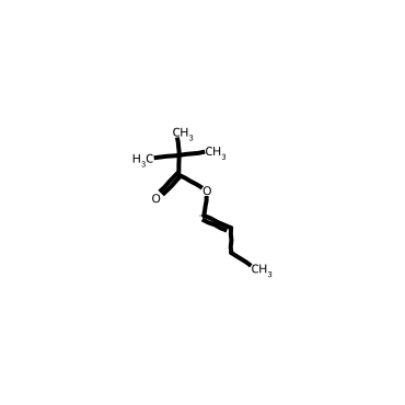 CCC=[C]OC(=O)C(C)(C)C